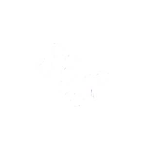 c1ccc2c3c(-c4c5ccccc5c(-c5cccc6sc7ccccc7c56)c5ccccc45)oc4ccccc4c-3nc2c1